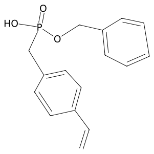 C=Cc1ccc(CP(=O)(O)OCc2ccccc2)cc1